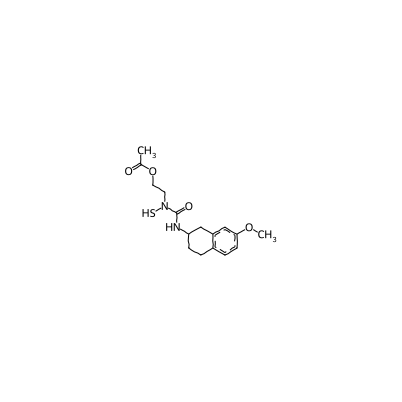 COc1ccc2c(c1)CC(NC(=O)N(S)CCOC(C)=O)CC2